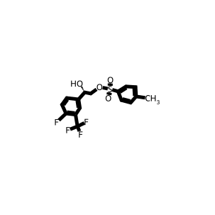 Cc1ccc(S(=O)(=O)OC[C@@H](O)c2ccc(F)c(C(F)(F)F)c2)cc1